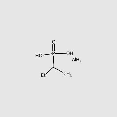 CCC(C)P(=O)(O)O.[AlH3]